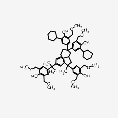 COCc1cc(C(C)(C)c2cccc(C(C)(CC3CCCC(c4cc(COC)c(O)c(C5CCCCC5)c4)(c4cc(COC)c(O)c(C5CCCCC5)c4)C3)c3cc(COC)c(O)c(COC)c3)c2)cc(COC)c1O